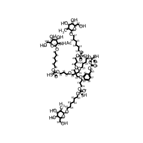 CC(=O)NC1[C@H](OCCCCCCOP(=O)(S)OCCCOCC(COCCCCOP(=O)(S)OC(=O)OCc2ccccc2)(COCCCOP(=O)(S)OCCCCCCO[C@@H]2OC(CO)[C@@H](O)[C@H](O)C2C)COCCCOP(=O)(S)OCCCCCCO[C@@H]2OC(CO)[C@@H](O)[C@H](O)C2C)OC(CO)[C@@H](O)[C@@H]1O